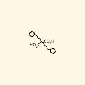 O=C(O)/C(CCCc1ccccc1)=C(\CCCc1ccccc1)C(=O)O